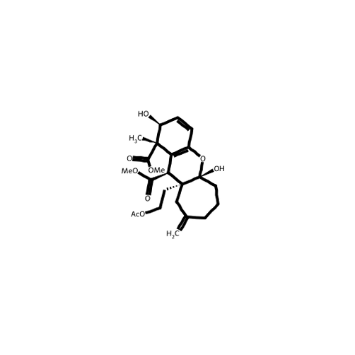 C=C1CCC[C@@]2(O)OC3=C([C@H](C(=O)OC)[C@]2(CCOC(C)=O)C1)[C@](C)(C(=O)OC)[C@@H](O)C=C3